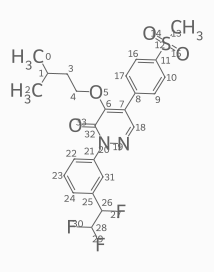 CC(C)CCOc1c(-c2ccc(S(C)(=O)=O)cc2)cnn(-c2cccc(C(F)C(F)F)c2)c1=O